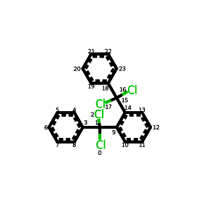 ClC(Cl)(c1ccccc1)c1ccccc1C(Cl)(Cl)c1ccccc1